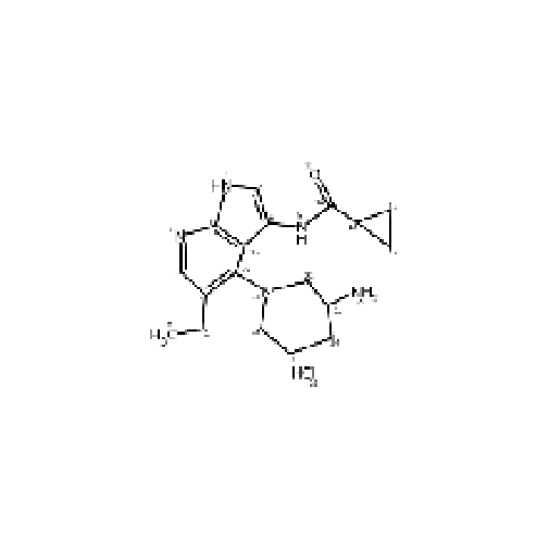 CCc1cnc2[nH]cc(NC(=O)C3CC3)c2c1N1CCCC(N)C1.Cl